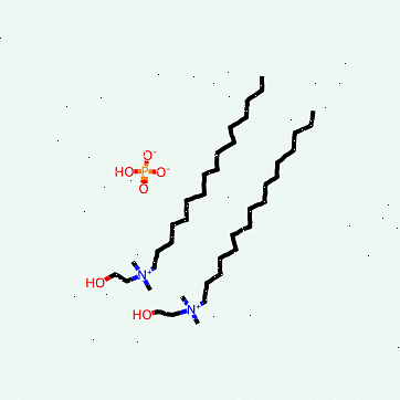 CCCCCCCCCCCCCCCC[N+](C)(C)CCO.CCCCCCCCCCCCCCCC[N+](C)(C)CCO.O=P([O-])([O-])O